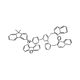 CC1(C)c2ccccc2-c2cc(N(c3ccc(-c4ccc5c(c4)-c4ccccc4Cc4ccc6ccccc6c4Oc4c(ccc6ccccc46)C5)cc3)c3cccc4oc5ccccc5c34)ccc21